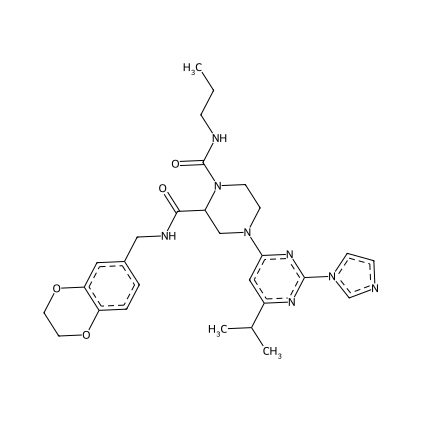 CCCNC(=O)N1CCN(c2cc(C(C)C)nc(-n3ccnc3)n2)CC1C(=O)NCc1ccc2c(c1)OCCO2